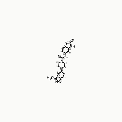 Cc1nnc2ccc(N3CCN(C(=O)Cc4ccc5c(c4)NC(=O)C5)CC3)nn12